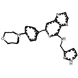 c1cnc2c(NCc3cc[nH]n3)nc(-c3ccc(N4CCOCC4)cc3)cc2n1